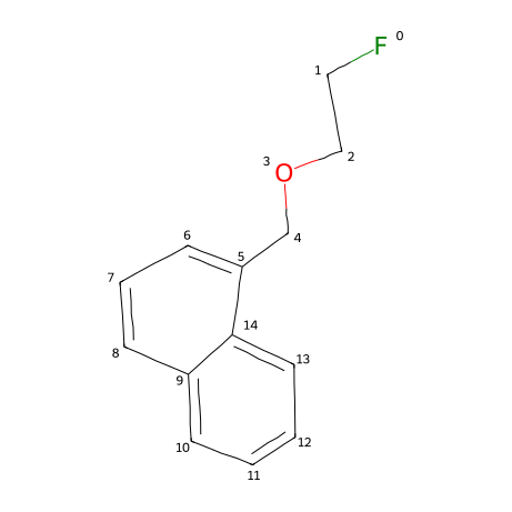 FCCOCc1cccc2ccccc12